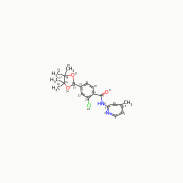 Cc1ccnc(NC(=O)c2ccc(B3OC(C)(C)C(C)(C)O3)cc2Cl)c1